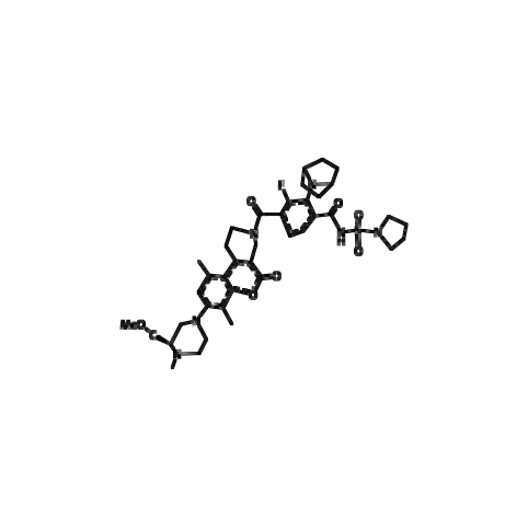 COC[C@H]1CN(c2cc(C)c3c4c(c(=O)oc3c2C)CN(C(=O)c2ccc(C(=O)NS(=O)(=O)N3CCCC3)c(N3C5CCC3CC5)c2F)CC4)CCN1C